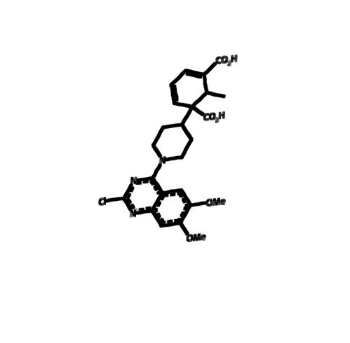 COc1cc2nc(Cl)nc(N3CCC(C4(C(=O)O)C=CC=C(C(=O)O)C4C)CC3)c2cc1OC